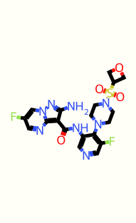 Nc1nn2cc(F)cnc2c1C(=O)Nc1cncc(F)c1N1CCN(S(=O)(=O)C2COC2)CC1